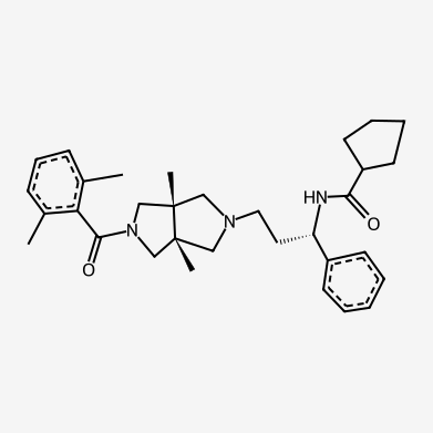 Cc1cccc(C)c1C(=O)N1C[C@]2(C)CN(CC[C@H](NC(=O)C3CCCC3)c3ccccc3)C[C@]2(C)C1